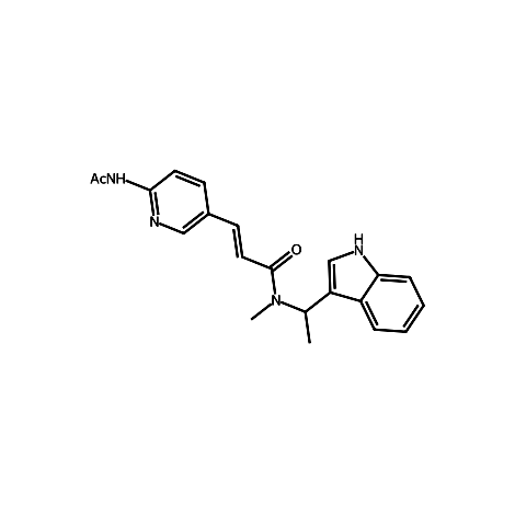 CC(=O)Nc1ccc(C=CC(=O)N(C)C(C)c2c[nH]c3ccccc23)cn1